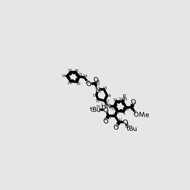 COC(=O)c1cc(C(C(=O)OC(C)(C)C)C(=O)OC(C)(C)C)c(NC2CCN(C(=O)OCc3ccccc3)CC2)cc1F